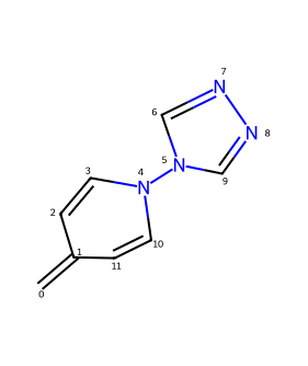 C=C1C=CN(n2cnnc2)C=C1